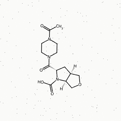 CC(=O)N1CCN(C(=O)[C@@H]2C[C@H]3COC[C@H]3N2C(=O)O)CC1